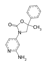 CC1(c2ccccc2)CN(c2ccnc(N)c2)C(=O)O1